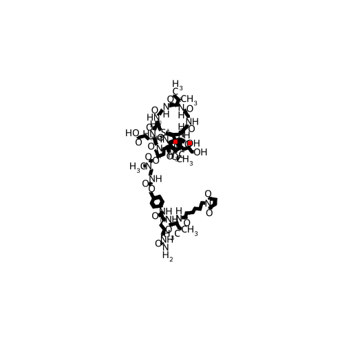 CC[C@H](C)[C@H]1NC(=O)CNC(=O)[C@H]2Cc3c([nH]c4cc(OC)ccc34)[S+]([O-])C[C@H](NC(=O)CNC1=O)C(=O)N[C@@H](CCC(=O)O)C(=O)N1C[C@@H](OC(=O)N(C)CCNC(=O)OCc3ccc(NC(=O)[C@H](CCCNC(N)=O)NC(=O)[C@@H](NC(=O)CCCCCN4C(=O)C=CC4=O)C(C)C)cc3)CC1C(=O)N[C@H]([C@@H](C)[C@@H](O)CO)C(=O)N2